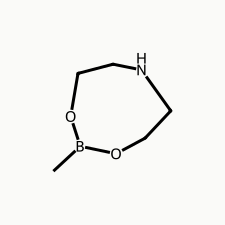 CB1OCCNCCO1